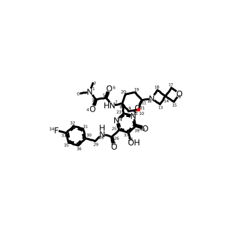 CN(C)C(=O)C(=O)NC12CCC(N3CC4(COC4)C3)(CC1)Cn1c2nc(C(=O)NCc2ccc(F)cc2)c(O)c1=O